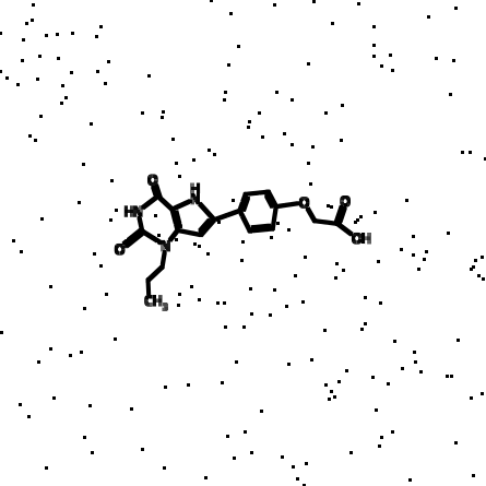 CCCn1c(=O)[nH]c(=O)c2[nH]c(-c3ccc(OCC(=O)O)cc3)cc21